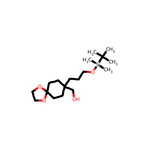 CC(C)(C)[Si](C)(C)OCCCC1(CO)CCC2(CC1)OCCO2